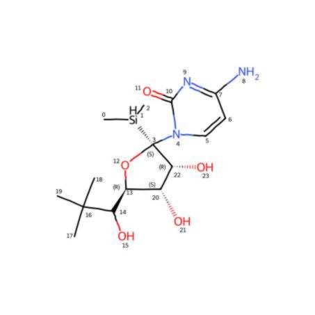 C[SiH](C)[C@@]1(n2ccc(N)nc2=O)O[C@H](C(O)C(C)(C)C)[C@@H](O)[C@H]1O